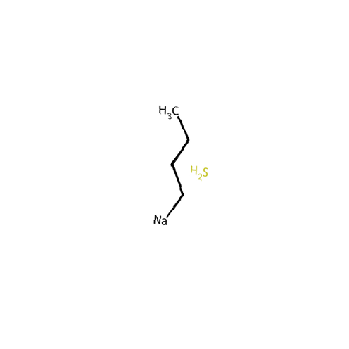 CCC[CH2][Na].S